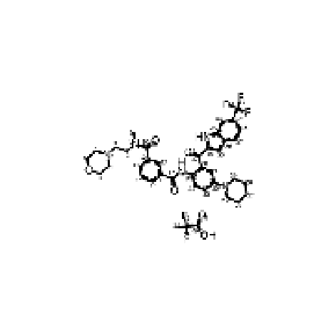 CN(CCN1CCOCC1)C(=O)c1cccc(C(=O)Nc2ccc(N3CCCCC3)cc2C(=O)c2cc3ccc(C(F)(F)F)cc3[nH]2)c1.O=C(O)C(F)(F)F